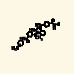 COc1cc(C(=O)NC2CCN(C)CC2)ccc1Nc1nc2ccccc2n2c(-c3ccc(C(=O)NC4CC4)cc3)cnc12